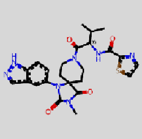 CC(C)[C@@H](NC(=O)c1nccs1)C(=O)N1CCC2(CC1)C(=O)N(C)C(=O)N2c1ccc2[nH]ncc2c1